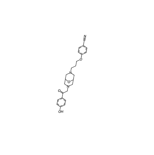 N#Cc1ccc(OCCCN2CC3CN(CC(=O)c4ccc(O)cc4)CC(C2)O3)cc1